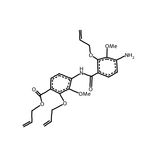 C=CCOC(=O)c1ccc(NC(=O)c2ccc(N)c(OC)c2OCC=C)c(OC)c1OCC=C